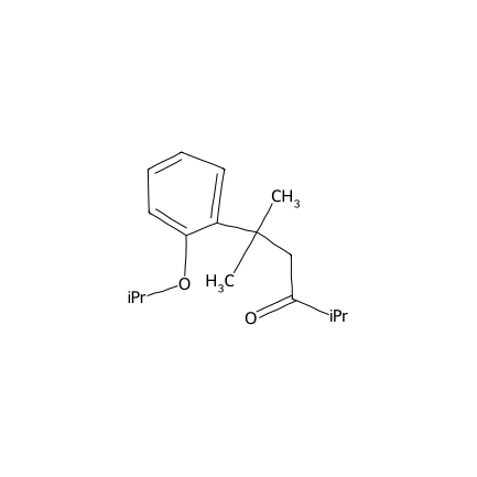 CC(C)Oc1ccccc1C(C)(C)CC(=O)C(C)C